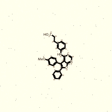 COc1ccc(-c2c(-c3ccccc3)oc3ncnc(Nc4cccc(CCC(=O)O)c4)c23)cc1